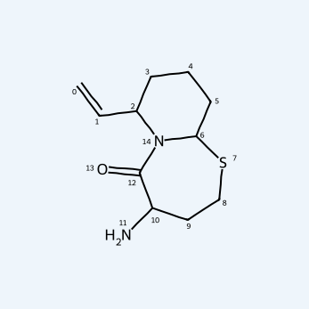 C=CC1CCCC2SCCC(N)C(=O)N12